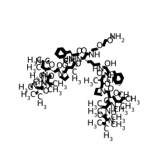 CC[C@H](C)[C@@H]([C@@H](CC(=O)N1CCC[C@H]1[C@H](OC)[C@@H](C)C(=O)N[C@@H](Cc1ccccc1)C(=O)N[C@@H](CCCCNC(O)[C@H](Cc1ccccc1)NC(=O)[C@H](C)[C@@H](OC)[C@@H]1CCCN1C(=O)C[C@@H](OC)[C@H]([C@@H](C)CC)N(C)C(=O)[C@@H](NC(=O)[C@H](C(C)C)N(C)C)C(C)C)C(=O)NCCOCCON)OC)N(C)C(=O)[C@@H](NC(=O)[C@H](C(C)C)N(C)C)C(C)C